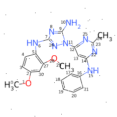 COc1ccc(Nc2nc(N)n(-c3cc(Nc4ccccc4)nc(C)n3)n2)c(OC)c1